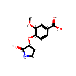 COc1cc(C(=O)O)ccc1O[C@H]1CCNC1=O